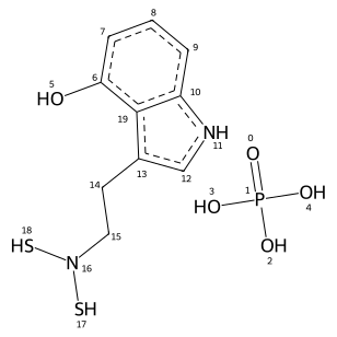 O=P(O)(O)O.Oc1cccc2[nH]cc(CCN(S)S)c12